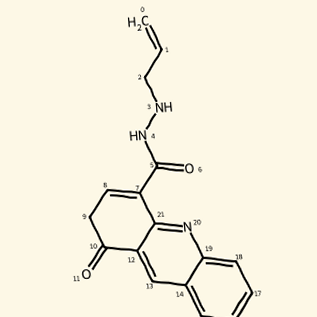 C=CCNNC(=O)C1=CCC(=O)c2cc3ccccc3nc21